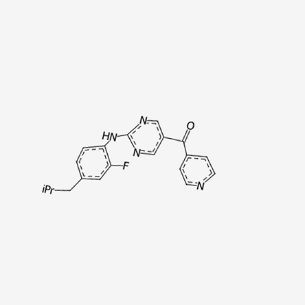 CC(C)Cc1ccc(Nc2ncc(C(=O)c3ccncc3)cn2)c(F)c1